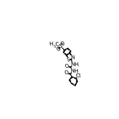 CS(=O)(=O)c1ccc2nc(NC(=O)NC(=O)c3ccccc3Cl)sc2c1